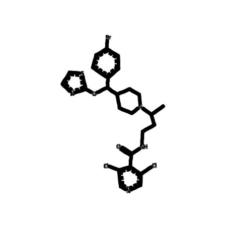 CC(CCNC(=O)c1c(Cl)cncc1Cl)N1CCC(C(Oc2nccs2)c2ccc(Br)cc2)CC1